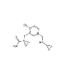 NC(=O)C1(Cc2cc(CNC3CC3)ccc2Cl)CC1